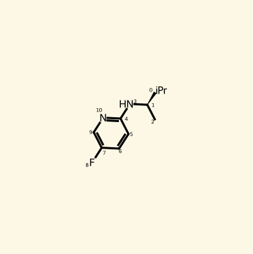 CC(C)[C@@H](C)Nc1ccc(F)cn1